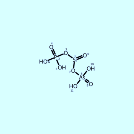 O=[Si](OP(=O)(O)O)O[As](=O)(O)O